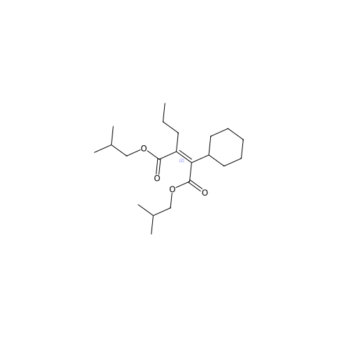 CCC/C(C(=O)OCC(C)C)=C(/C(=O)OCC(C)C)C1CCCCC1